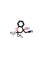 CC1(C)CC(O)(CC#N)c2ccccc2O1